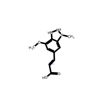 COc1cc(/C=C/C(=O)O)cc2c1NNN2C